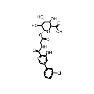 O=C(CNC(=O)c1ncc(-c2cccc(Cl)c2)cc1O)O[C@H]1OC(C(=O)O)[C@H](O)[C@@H](O)C1O